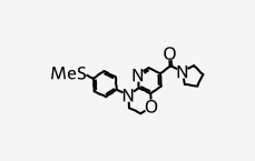 CSc1ccc(N2CCOc3cc(C(=O)N4CCCC4)cnc32)cc1